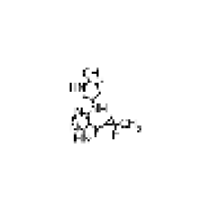 C[C@H]1CC[C@@H](Nc2ncnc3[nH]cc(C4CC4(C)F)c23)CN1